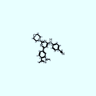 Cc1nn(C)c2cc(-c3cc(Nc4ccc(C#N)cc4)nc(N4CCOCC4)n3)ccc12